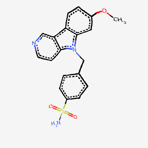 COc1ccc2c3cnccc3n(Cc3ccc(S(N)(=O)=O)cc3)c2c1